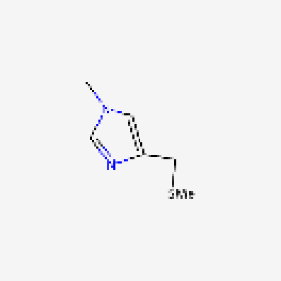 CSCc1cn(C)cn1